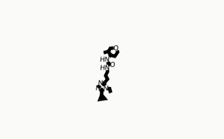 CCn1c(CCCNC(=O)NC2CCOCC2C)nnc1C1CC1